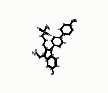 CC(C)(C)[C@H]1CC[C@@H](N2CCC(n3c(CCOS(N)(=O)=O)c(CN)c4cc(F)ccc43)CC2)CC1